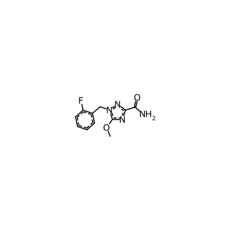 COc1nc(C(N)=O)nn1Cc1ccccc1F